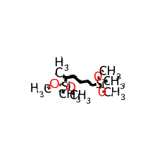 CO[Si](C)(CCCCC(C)[Si](C)(OC)OC)OC